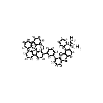 CC1(C)c2ccccc2-c2c1ccc1c2Oc2c(cccc2-c2cccc(-c3cccc4c3Oc3ccccc3[Si]4(c3ccccc3)c3ccccc3)c2)S1